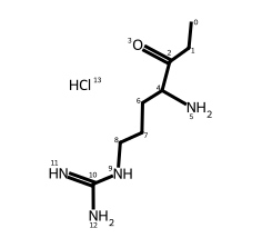 CCC(=O)C(N)CCCNC(=N)N.Cl